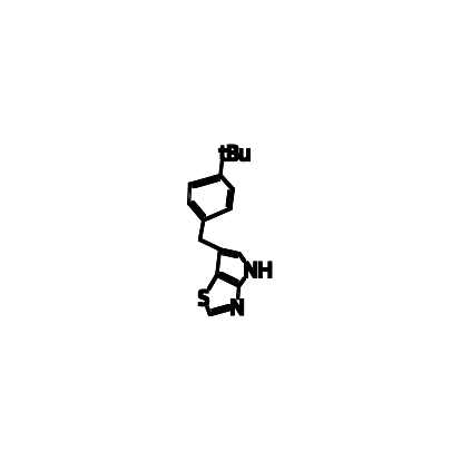 CC(C)(C)c1ccc(Cc2c[nH]c3ncsc23)cc1